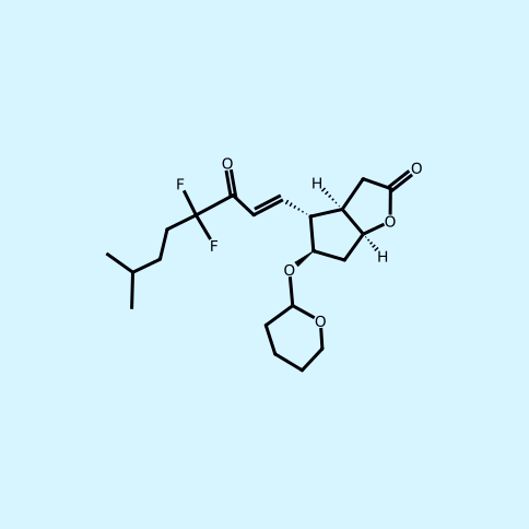 CC(C)CCC(F)(F)C(=O)/C=C/[C@@H]1[C@H]2CC(=O)O[C@H]2C[C@H]1OC1CCCCO1